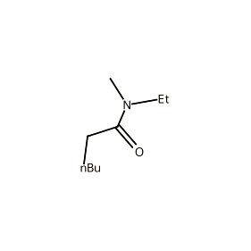 [CH2]CN(C)C(=O)CCCCC